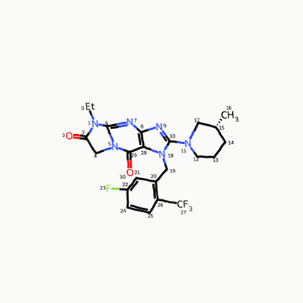 CCN1C(=O)Cn2c1nc1nc(N3CCC[C@@H](C)C3)n(Cc3cc(F)ccc3C(F)(F)F)c1c2=O